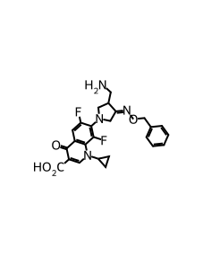 NCC1CN(c2c(F)cc3c(=O)c(C(=O)O)cn(C4CC4)c3c2F)C/C1=N\OCc1ccccc1